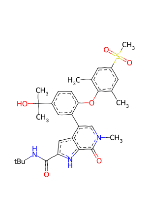 Cc1cc(S(C)(=O)=O)cc(C)c1Oc1ccc(C(C)(C)O)cc1-c1cn(C)c(=O)c2[nH]c(C(=O)NC(C)(C)C)cc12